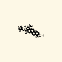 C=C(C)[C@@H]1CC[C@]2(C(=O)NCc3ccncc3)CC[C@@]3(C)C4=C(CC[C@@H]3C12)[C@@]1(C)CC[C@H](O)C(C)(C)C1CC4